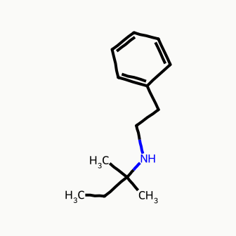 CCC(C)(C)NCCc1ccccc1